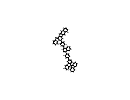 c1ccc(C2(c3ccccc3)c3ccccc3-c3cc(-c4ccc(-c5ccc(-c6ccc(-c7cc8c9cc%10ccccc%10cc9sc8c8nc9ccccc9n78)cc6)c6ccccc56)cc4)ccc32)cc1